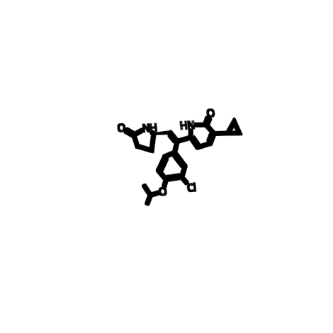 CC(C)Oc1ccc(/C(=C\[C@H]2CCC(=O)N2)c2ccc(C3CC3)c(=O)[nH]2)cc1Cl